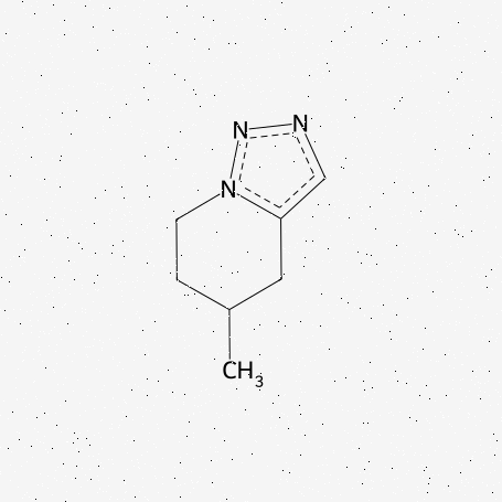 CC1CCn2nncc2C1